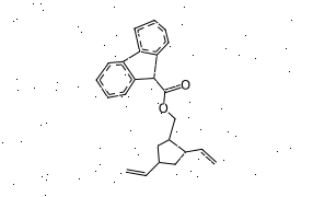 C=CC1CC(C=C)C(COC(=O)C2c3ccccc3-c3ccccc32)C1